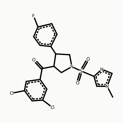 Cn1cnc(S(=O)(=O)N2CC(C(=O)c3cc(Cl)cc(Cl)c3)C(c3ccc(F)cc3)C2)c1